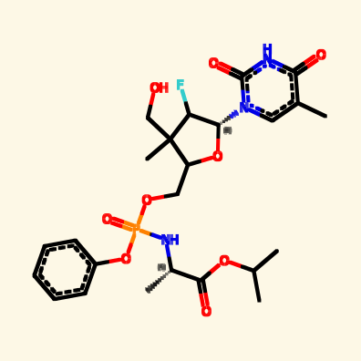 Cc1cn([C@@H]2OC(COP(=O)(N[C@@H](C)C(=O)OC(C)C)Oc3ccccc3)C(C)(CO)C2F)c(=O)[nH]c1=O